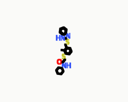 Cc1c(CSc2nc3ccccc3[nH]2)cccc1SCC(=O)NC1CCCCC1